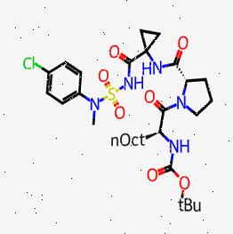 CCCCCCCC[C@H](NC(=O)OC(C)(C)C)C(=O)N1CCC[C@H]1C(=O)NC1(C(=O)NS(=O)(=O)N(C)c2ccc(Cl)cc2)CC1